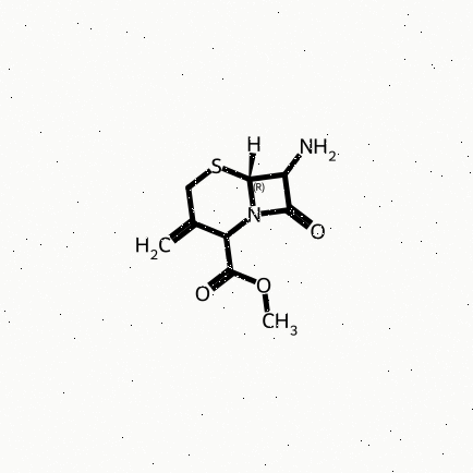 C=C1CS[C@@H]2C(N)C(=O)N2C1C(=O)OC